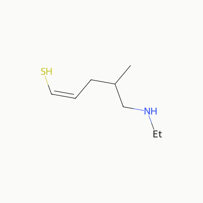 CCNCC(C)C/C=C\S